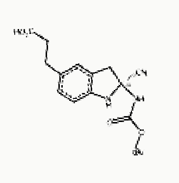 CC(C)(C)OC(=O)N[C@]1(C#N)Cc2cc(CCC(=O)O)ccc2N1